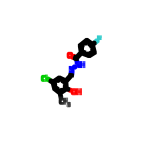 O=C(N/N=C/c1cc(Cl)cc(C(F)(F)F)c1O)c1ccc(F)cc1